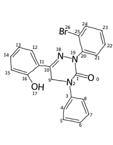 O=C1N(c2ccccc2)CC(c2ccccc2O)=NN1c1ccccc1Br